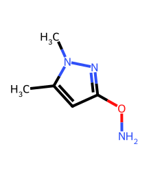 Cc1cc(ON)nn1C